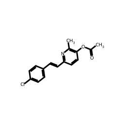 CC(=O)Oc1ccc(C=Cc2ccc(Cl)cc2)nc1C